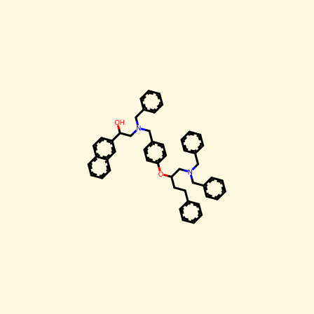 OC(CN(Cc1ccccc1)Cc1ccc(OC(CCc2ccccc2)CN(Cc2ccccc2)Cc2ccccc2)cc1)c1ccc2ccccc2c1